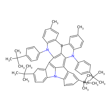 Cc1ccc2c(c1)B1c3cc(C)ccc3N(c3ccc(C(C)(C)C)cc3)c3c1c(c1c4cc(C(C)(C)C)ccc4n4c5ccc(C(C)(C)C)cc5c3c14)N2c1ccc(C(C)(C)C)cc1